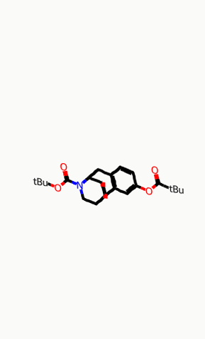 CC(C)(C)OC(=O)N1CCC23CCCCC2C1Cc1ccc(OC(=O)C(C)(C)C)cc13